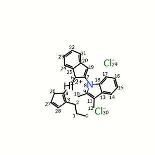 CCCC1=[C]([Hf+2][CH]2C(n3c(C)c(C)c4ccccc43)=Cc3ccccc32)CC=C1.[Cl-].[Cl-]